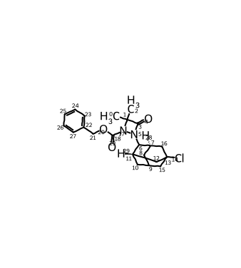 CC1(C)C(=O)N(C2[C@@H]3CC4C[C@H]2CC(Cl)(C4)C3)N1C(=O)OCc1ccccc1